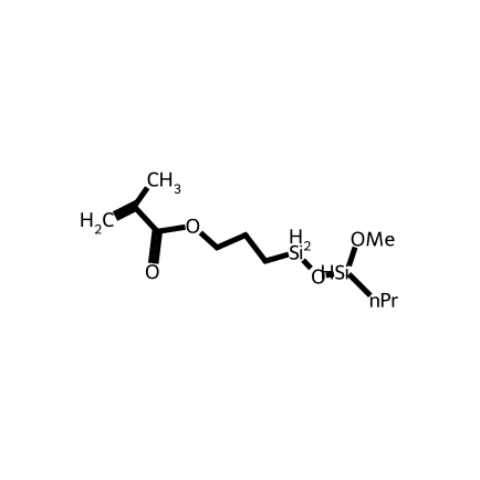 C=C(C)C(=O)OCCC[SiH2]O[SiH](CCC)OC